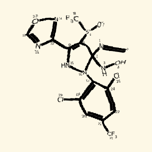 C=NC1(NO)C([S+]([O-])C(F)(F)F)=C(c2ncon2)NN1c1c(Cl)cc(C(F)(F)F)cc1Cl